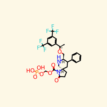 C[C@@H](OC[C@@H]1NC[C@@]2(CCC(=O)N2C(=O)OCOP(=O)(O)O)CC1c1ccccc1)c1cc(C(F)(F)F)cc(C(F)(F)F)c1